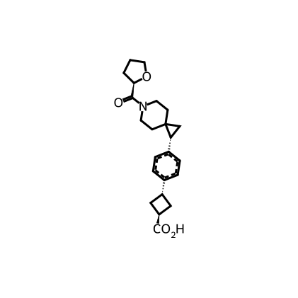 O=C([C@H]1CCCO1)N1CCC2(CC1)C[C@@H]2c1ccc([C@H]2C[C@H](C(=O)O)C2)cc1